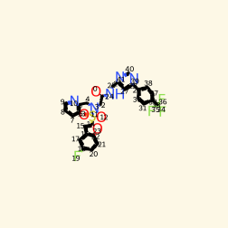 O=C(CN(Cc1ccccn1)S(=O)(=O)c1cc2cc(F)ccc2o1)NCc1cc(-c2ccc(C(F)(F)F)cc2)ncn1